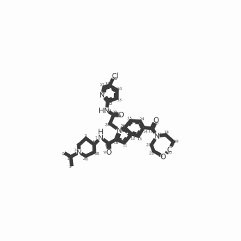 CC(C)N1CCC(NC(=O)c2cc3cc(C(=O)N4CCCOCC4)ccc3n2CC(=O)Nc2ccc(Cl)cn2)CC1